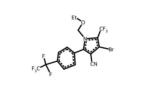 CCOCn1c(-c2ccc(C(F)(F)C(F)(F)F)cc2)c(C#N)c(Br)c1C(F)(F)F